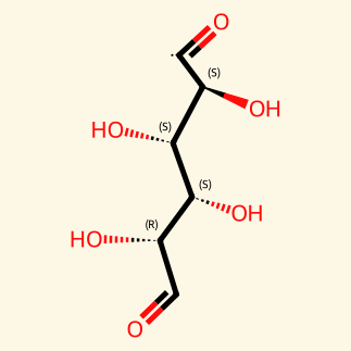 O=[C][C@@H](O)[C@@H](O)[C@H](O)[C@@H](O)C=O